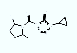 CC1CCC(C)N1C(=O)n1nnn(C2CC2)c1=O